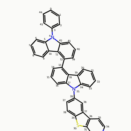 c1ccc(-n2c3ccccc3c3c(-c4cccc5c4c4ccccc4n5-c4ccc5sc6cnccc6c5c4)cccc32)cc1